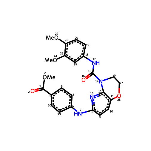 COC(=O)c1ccc(Nc2ccc3c(n2)N(C(=O)Nc2ccc(OC)c(OC)c2)CCO3)cc1